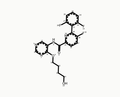 O=C(Nc1cncnc1OCCCCO)c1ccc(F)c(-c2c(F)cccc2F)n1